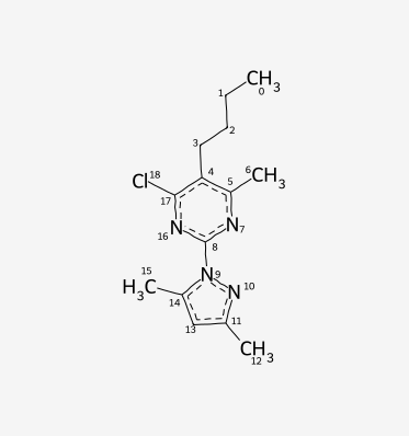 CCCCc1c(C)nc(-n2nc(C)cc2C)nc1Cl